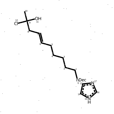 CCCCCCCCCCCCCCC/C=C/CC(C)(O)Cl.c1c[nH]cn1